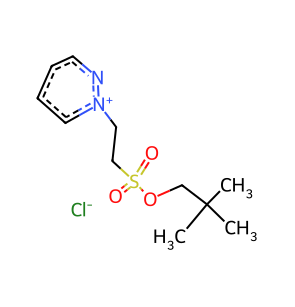 CC(C)(C)COS(=O)(=O)CC[n+]1ccccn1.[Cl-]